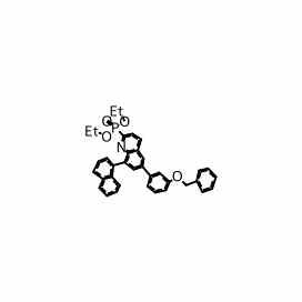 CCOP(=O)(OCC)c1ccc2cc(-c3cccc(OCc4ccccc4)c3)cc(-c3cccc4ccccc34)c2n1